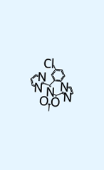 CC(=O)OC1N=C(c2ncccn2)c2cc(Cl)ccc2-n2ccnc21